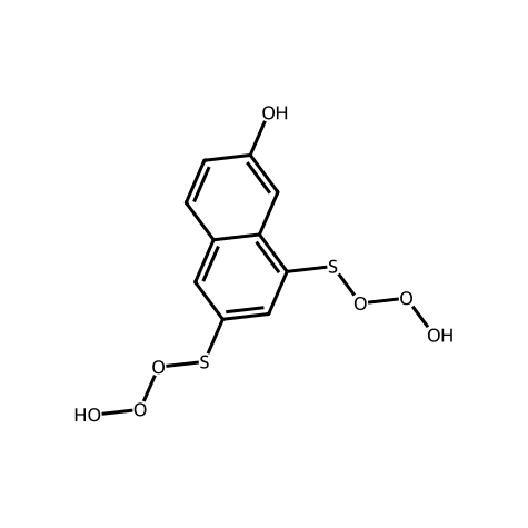 OOOSc1cc(SOOO)c2cc(O)ccc2c1